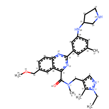 CCn1ncc(CN(C)C(=O)c2nc(-c3cc(C)cc(NC4CCNC4)c3)nc3ccc(COC)cc23)c1C